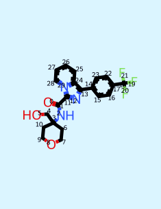 O=C(NC1(CO)CCOCC1)c1nc(-c2ccc(C(F)(F)F)cc2)c2ccccn12